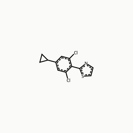 Clc1cc(C2CC2)cc(Cl)c1-c1nccs1